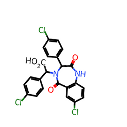 O=C(O)C(c1ccc(Cl)cc1)N1C(=O)c2cc(Cl)ccc2NC(=O)C1c1ccc(Cl)cc1